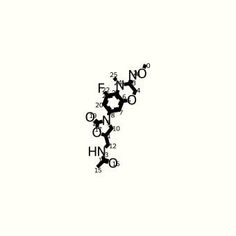 CON=C1COc2cc(N3CC(CNC(C)=O)OC3=O)cc(F)c2N1C